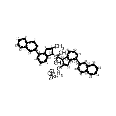 CC1=Cc2c(-c3ccc4ccccc4c3)cccc2C1[Si](C)(C)C1C(C)=Cc2c(-c3ccc4ccccc4c3)cccc21.[Cl-].[Cl-].[Zr+2]